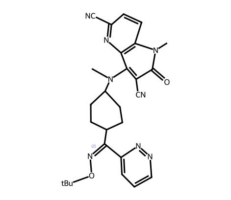 CN(c1c(C#N)c(=O)n(C)c2ccc(C#N)nc12)C1CCC(/C(=N/OC(C)(C)C)c2cccnn2)CC1